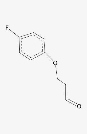 O=CCCOc1ccc(F)cc1